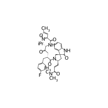 Cc1cc(C(=O)N[C@H](C(=O)C[C@@H](Cc2ccc(F)cc2)C(=O)N2C[C@]3(C[C@H]2/C=C/C(=O)N(C)C)C(=O)Nc2ccccc23)C(C)C)no1